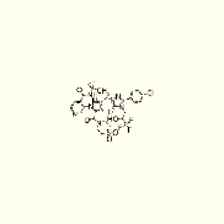 CC1(NC(=O)c2ccncc2-n2nc(Cn3nc(-c4ccc(Cl)cc4)n(CC(O)C(F)(F)F)c3=O)nc2C(=O)N2CCS(=O)(=O)CC2)CC1